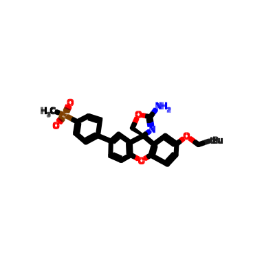 CC(C)(C)COc1ccc2c(c1)[C@]1(COC(N)=N1)c1cc(-c3ccc(S(C)(=O)=O)cc3)ccc1O2